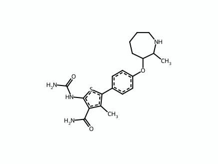 Cc1c(-c2ccc(OC3CCCCNC3C)cc2)sc(NC(N)=O)c1C(N)=O